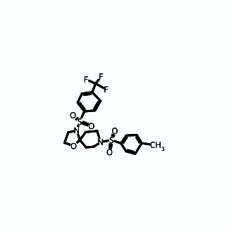 Cc1ccc(S(=O)(=O)N2CCC3(CC2)OCCN3S(=O)(=O)c2ccc(C(F)(F)F)cc2)cc1